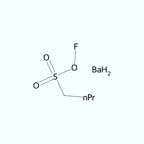 CCCCS(=O)(=O)OF.[BaH2]